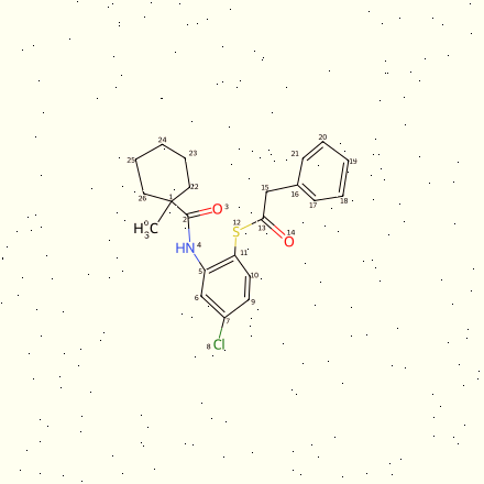 CC1(C(=O)Nc2cc(Cl)ccc2SC(=O)Cc2ccccc2)CCCCC1